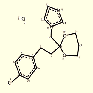 Cl.Clc1ccc(CCC2(Cn3ccnc3)OCCCO2)cc1